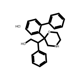 Cl.OCC(c1ccccc1)C1(c2ccccc2-c2ccccc2)CNCCO1